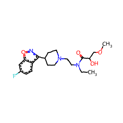 CCN(CCN1CCC(c2noc3cc(F)ccc23)CC1)C(=O)C(O)COC